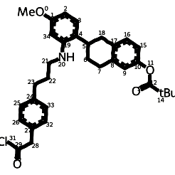 COc1ccc(C2CCc3cc(OC(=O)C(C)(C)C)ccc3C2)c(NCCCc2ccc(CC(=O)Cl)cc2)c1